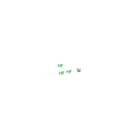 F.F.F.[Si]